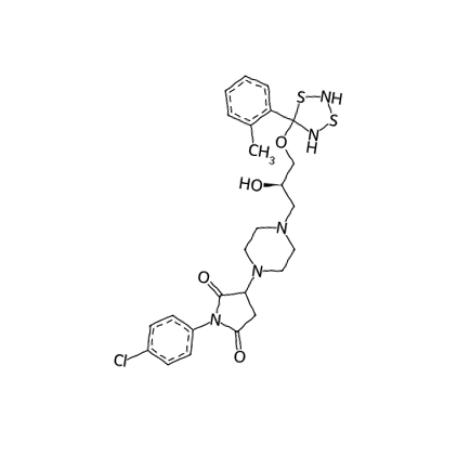 Cc1ccccc1C1(OC[C@H](O)CN2CCN(C3CC(=O)N(c4ccc(Cl)cc4)C3=O)CC2)NSNS1